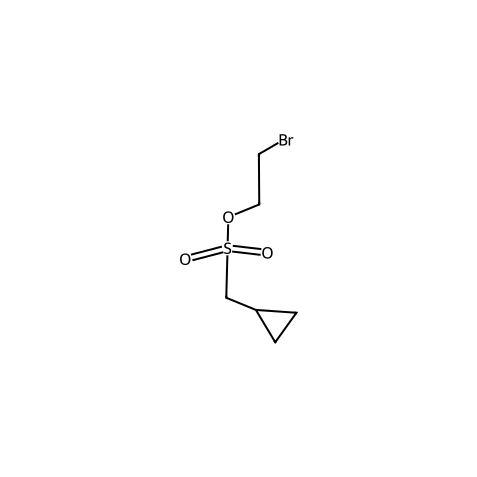 O=S(=O)(CC1CC1)OCCBr